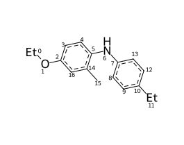 CCOc1ccc(Nc2ccc(CC)cc2)c(C)c1